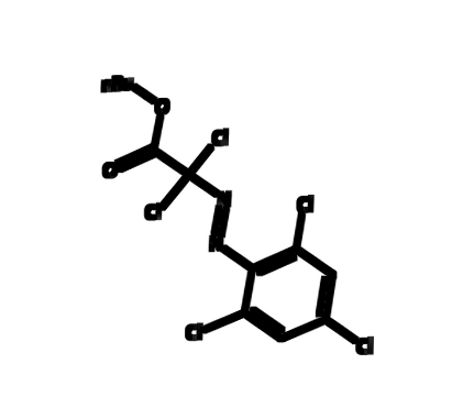 CCCCOC(=O)C(Cl)(Cl)N=Nc1c(Cl)cc(Cl)cc1Cl